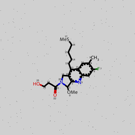 COC1c2nc3cc(F)c(C)cc3c(CCCCSC)c2CN1C(=O)CCO